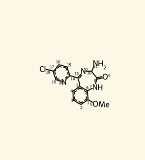 COc1cccc2c1NC(=O)C(N)N=C2c1ccc(Cl)cn1